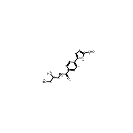 O=Cc1ccc(-c2ccc(C(=O)NCC(O)CO)cc2)s1